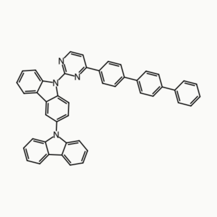 c1ccc(-c2ccc(-c3ccc(-c4ccnc(-n5c6ccccc6c6cc(-n7c8ccccc8c8ccccc87)ccc65)n4)cc3)cc2)cc1